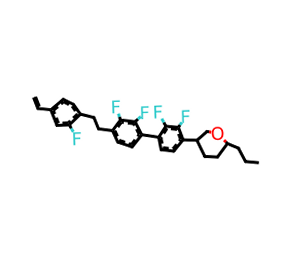 C=Cc1ccc(CCc2ccc(-c3ccc(C4CCC(CCC)OC4)c(F)c3F)c(F)c2F)c(F)c1